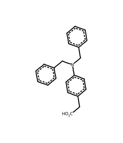 O=C(O)Cc1ccc(N(Cc2ccccc2)Cc2ccccc2)cc1